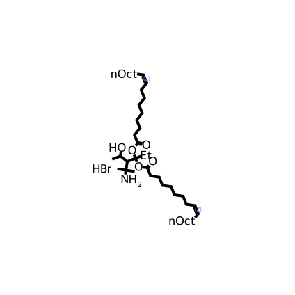 Br.CCCCCCCC/C=C\CCCCCCCC(=O)OC(CC)(OC(=O)CCCCCCC/C=C\CCCCCCCC)C(C(C)O)C(C)(C)N